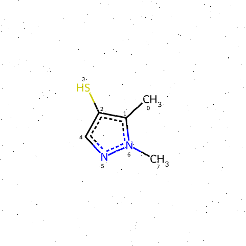 Cc1c(S)cnn1C